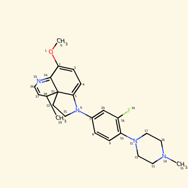 COC1=CC=C2N(c3ccc(N4CCN(C)CC4)c(F)c3)CCC23C1=NC=CC3C